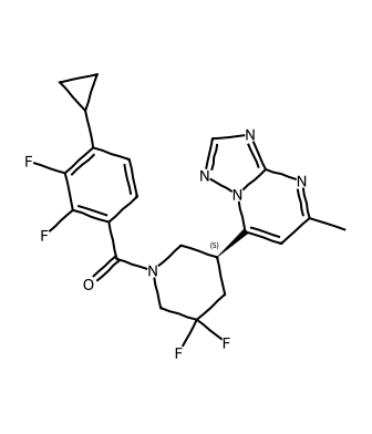 Cc1cc([C@@H]2CN(C(=O)c3ccc(C4CC4)c(F)c3F)CC(F)(F)C2)n2ncnc2n1